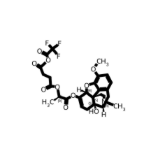 COc1ccc2c3c1O[C@H]1C(OC(=O)[C@@H](C)OC(=O)CCC(=O)OC(=O)C(F)(F)F)=CC[C@@]4(O)[C@@H](C2)N(C)CC[C@]314